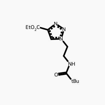 CCOC(=O)c1cn(CCNC(=O)C(C)(C)C)nn1